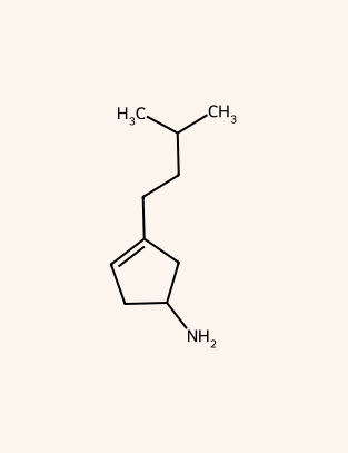 CC(C)CCC1=CCC(N)C1